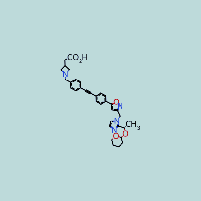 C[C@H](OC1CCCCO1)c1nccn1Cc1cc(-c2ccc(C#Cc3ccc(CN4CC(CC(=O)O)C4)cc3)cc2)on1